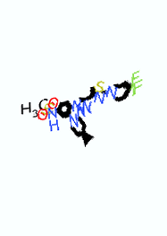 CS(=O)(=O)Nc1ccc(-n2cc(-c3csc(N4CCC(F)(F)CC4)n3)nn2)c(N2CCC3(CC2)CC3)c1